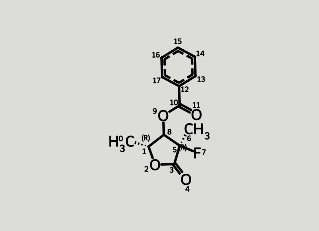 C[C@H]1OC(=O)[C@](C)(F)C1OC(=O)c1ccccc1